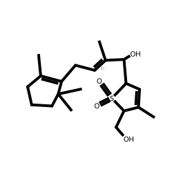 CC1=CC(C(O)/C(C)=C/CC2=C(C)CCCC2(C)C)S(=O)(=O)C1CO